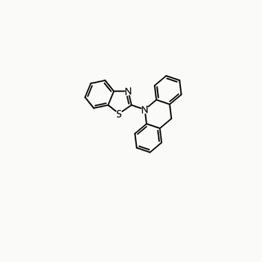 c1ccc2c(c1)Cc1ccccc1N2c1nc2ccccc2s1